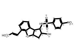 O=C(O)/C=C/c1cccc2c1OC1CC(O)C(NS(=O)(=O)c3ccc([N+](=O)[O-])cc3)C21